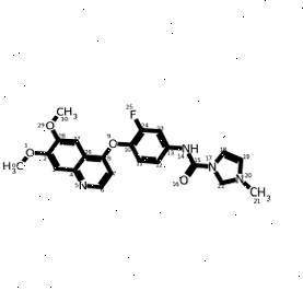 COc1cc2nccc(Oc3ccc(NC(=O)N4C=CN(C)C4)cc3F)c2cc1OC